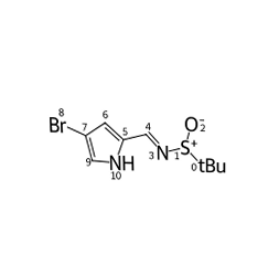 CC(C)(C)[S+]([O-])N=Cc1cc(Br)c[nH]1